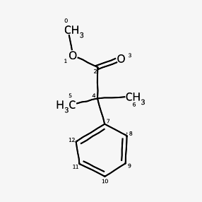 COC(=O)C(C)(C)c1[c]cccc1